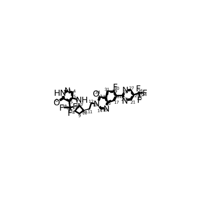 O=c1[nH]ncc(N[C@H]2CC[C@@H]2CCn2cnc3cc(-c4ncc(C(F)(F)F)cn4)c(F)cc3c2=O)c1C(F)(F)F